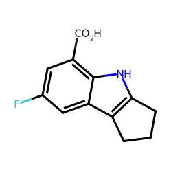 O=C(O)c1cc(F)cc2c3c([nH]c12)CCC3